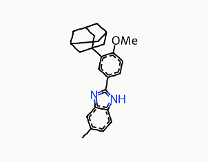 COc1ccc(-c2nc3cc(C)ccc3[nH]2)cc1C12CC3CC(CC(C3)C1)C2